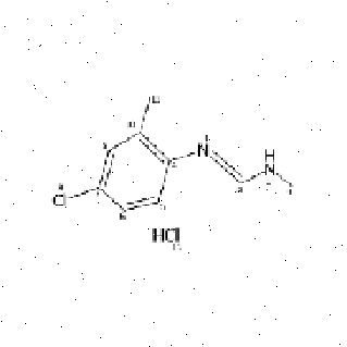 CN/C=N/c1ccc(Cl)cc1C.Cl